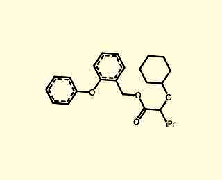 CC(C)C(OC1CCCCC1)C(=O)OCc1ccccc1Oc1ccccc1